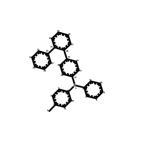 Cc1ccc(N(c2ccccc2)c2ccc(-c3ccccc3-c3ccccc3)cc2)cc1